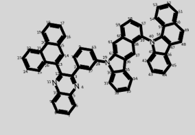 c1cc(-c2nc3ccccc3nc2-c2cc3ccccc3c3ccccc23)cc(-n2c3ccccc3c3cc4c(-n5c6ccccc6c6ccc7ccccc7c65)cccc4cc32)c1